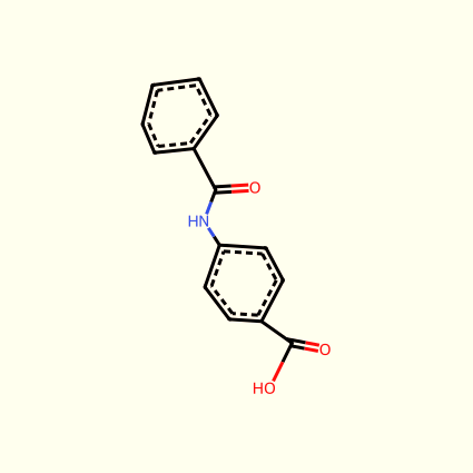 O=C(O)c1ccc(NC(=O)c2ccccc2)cc1